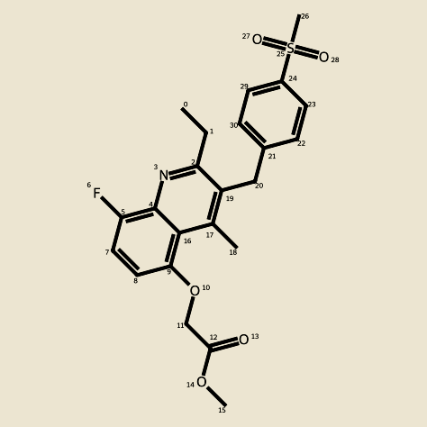 CCc1nc2c(F)ccc(OCC(=O)OC)c2c(C)c1Cc1ccc(S(C)(=O)=O)cc1